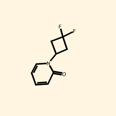 O=c1ccccn1C1CC(F)(F)C1